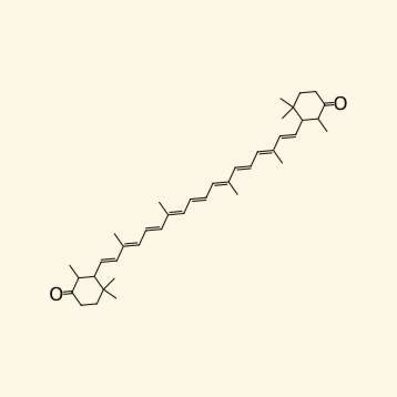 CC(/C=C/C=C(C)/C=C/C1C(C)C(=O)CCC1(C)C)=C\C=C\C=C(C)\C=C\C=C(C)\C=C\C1C(C)C(=O)CCC1(C)C